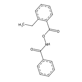 CCc1ccccc1C(=O)ONC(=O)c1ccccc1